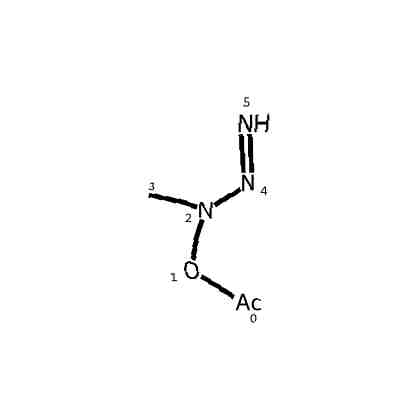 CC(=O)ON(C)N=N